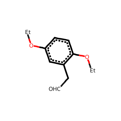 CCOc1ccc(OCC)c(CC=O)c1